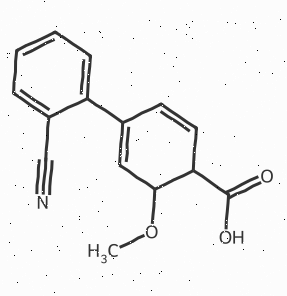 COC1C=C(c2ccccc2C#N)C=CC1C(=O)O